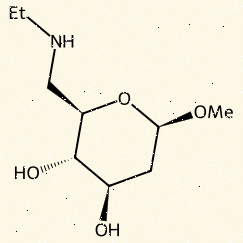 CCNC[C@H]1O[C@@H](OC)C[C@@H](O)[C@@H]1O